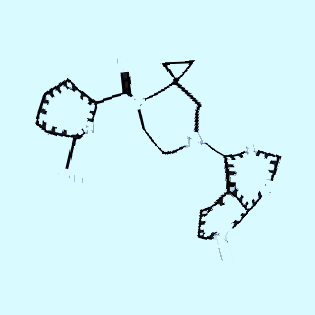 O=C(c1cccc(O)n1)N1CCN(c2ncnc3[nH]ccc23)CC12CC2